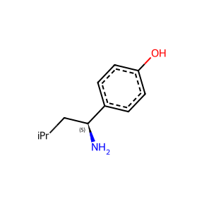 CC(C)C[C@H](N)c1ccc(O)cc1